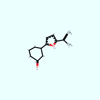 C=C(C)c1ccc(C2CCCC(=O)C2)o1